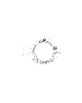 CCCC[C@H]1C(=O)N(C)[C@@H](CCCC)C(=O)N[C@@H](CCCCN)C(=O)N[C@H](C(=O)NCC(N)=O)CSCC(=O)N[C@@H](Cc2ccccc2)C(=O)N(C)[C@@H](C)C(=O)N[C@@H](CC(N)=O)C(=O)N2CCC[C@H]2C(=O)N[C@@H](Cc2cnc[nH]2)C(=O)N[C@@H](CC(C)C)C(=O)N(C)CC(=O)N[C@@H](Cc2c[nH]c3ccccc23)C(=O)N[C@@H](CO)C(=O)N[C@@H](Cc2c[nH]c3ccccc23)C(=O)N1C